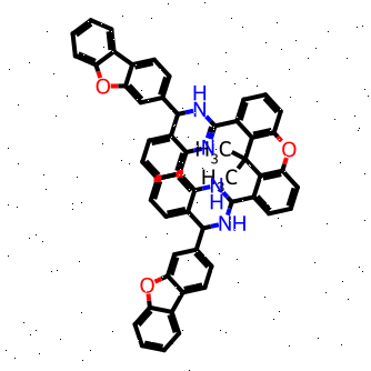 CC1(C)c2c(cccc2C2=Nc3ccccc3C(c3ccc4c(c3)oc3ccccc34)N2)Oc2cccc(C3Nc4ccccc4C(c4ccc5c(c4)oc4ccccc45)N3)c21